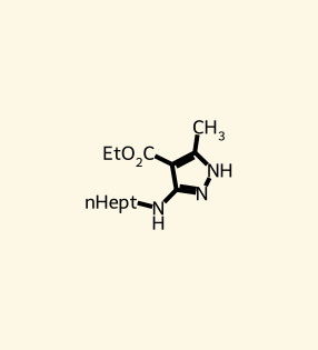 CCCCCCCNc1n[nH]c(C)c1C(=O)OCC